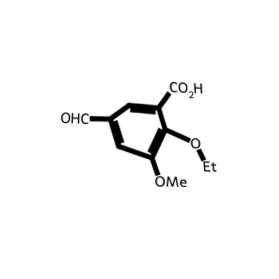 CCOc1c(OC)cc(C=O)cc1C(=O)O